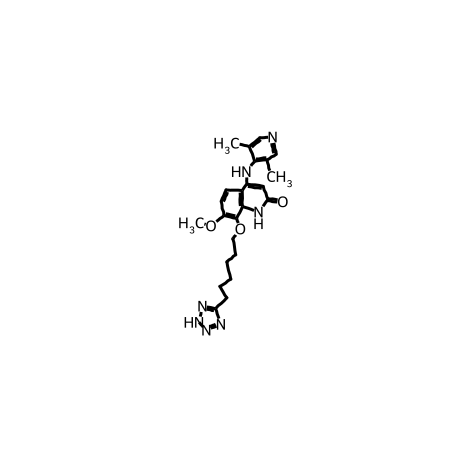 COc1ccc2c(Nc3c(C)cncc3C)cc(=O)[nH]c2c1OCCCCCCc1nn[nH]n1